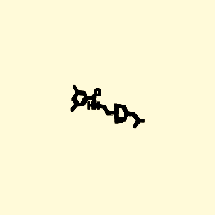 Cc1cc(C)cc(C(=O)NCCc2ccc(CC(C)C)cc2)c1